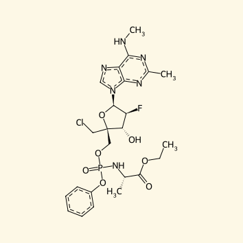 CCOC(=O)[C@H](C)NP(=O)(OC[C@@]1(CCl)O[C@@H](n2cnc3c(NC)nc(C)nc32)[C@@H](F)[C@@H]1O)Oc1ccccc1